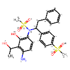 CC(O)c1c(N)ccc(N(C(Cc2ccccc2)c2ccc(S(C)(=O)=O)cc2)S(C)(=O)=O)c1O